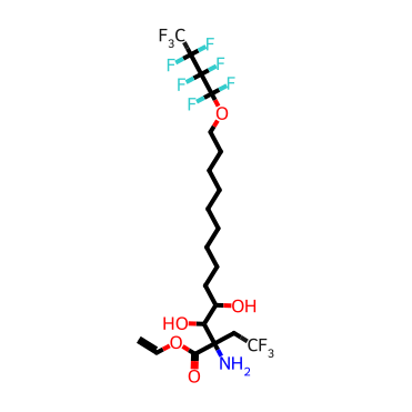 C=COC(=O)C(N)(CC(F)(F)F)C(O)C(O)CCCCCCCCCOC(F)(F)C(F)(F)C(F)(F)C(F)(F)F